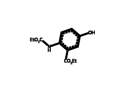 CCOC(=O)Nc1ccc(O)cc1C(=O)OCC